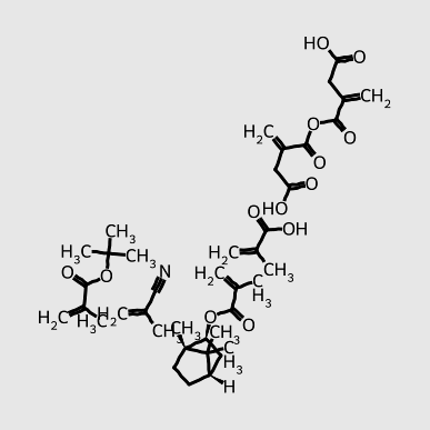 C=C(C)C#N.C=C(C)C(=O)O.C=C(C)C(=O)OC(C)(C)C.C=C(C)C(=O)O[C@H]1C[C@@H]2CC[C@@]1(C)C2(C)C.C=C(CC(=O)O)C(=O)OC(=O)C(=C)CC(=O)O